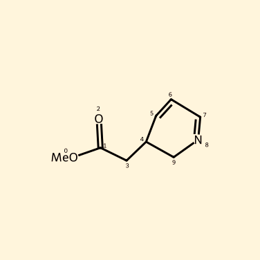 COC(=O)CC1C=CC=NC1